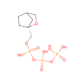 O=P(O)(O)OP(=O)(O)OP(=O)(O)OC[C@@]12CCC(CO1)C2